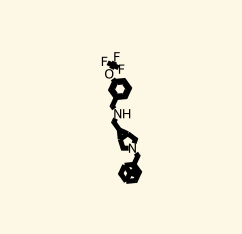 CC1(C)C2CC=C(CN3CC4C(CNCc5cccc(OC(F)(F)F)c5)C4C3)C1C2